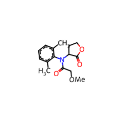 COCC(=O)N(c1c(C)cccc1C)C1CCOC1=O